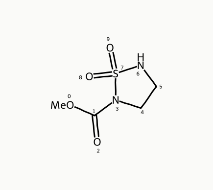 COC(=O)N1CCNS1(=O)=O